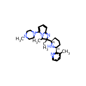 Cc1cccnc1[C@@H]1CCC[C@H]([C@@]2(C)N=C3C=CC=C(N4CCN(C)CC4)N3C2C)N1